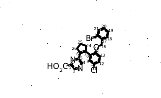 O=C(O)c1cncc(C2=C(c3cc(Cl)ccc3OCc3ccccc3Br)CCC2)n1